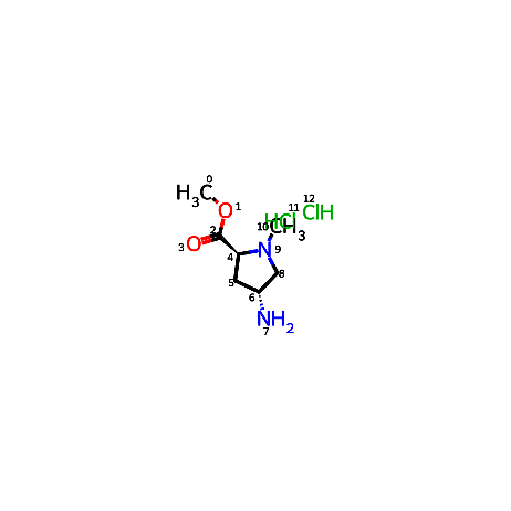 COC(=O)[C@@H]1C[C@@H](N)CN1C.Cl.Cl